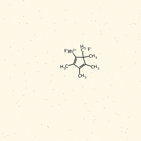 CC1=C(C)C(C)(C)[C]([Rh+2])=C1C.[F-].[F-]